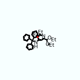 CCOC(OCC)c1cc(NC(c2ccccc2)(c2ccccc2)c2ccccc2)c(F)c(CC)n1